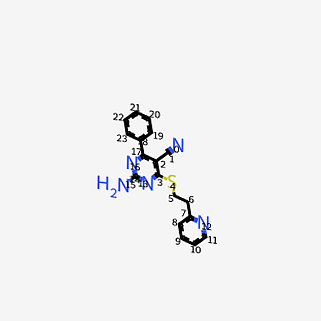 N#Cc1c(SCCc2ccccn2)nc(N)nc1-c1ccccc1